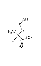 C[C@@](N)(CCS)C(=O)O